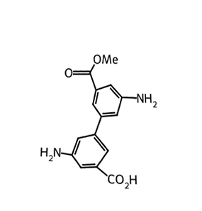 COC(=O)c1cc(N)cc(-c2cc(N)cc(C(=O)O)c2)c1